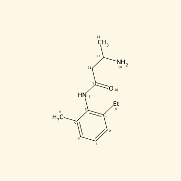 CCc1cccc(C)c1NC(=O)CC(C)N